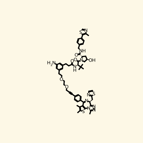 Cc1ncsc1-c1ccc(CNC(=O)[C@@H]2C[C@@H](O)CN2C(=O)[C@@H](NC(=O)CCc2cc(N)cc(CCOCCOCC#Cc3ccc(C4=N[C@@H](Cc5nccs5)c5nnc(C)n5-c5sc(C)c(C)c54)cc3)c2)C(C)(C)C)cc1